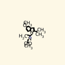 C=C/C(Cn1c(C(C)C)cc2cc(OC)ccc21)=N\CC(=O)OC